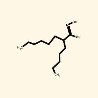 CCCCCCC(CCCCC)/C(N)=N/O